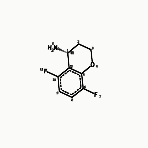 N[C@@H]1CCOc2c(F)ccc(F)c21